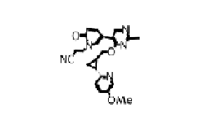 COc1ccc([C@@H]2CC2COc2nc(C)ncc2-c2ccc(=O)n(CCC#N)c2)nc1